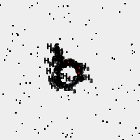 CCNC(=O)O[C@@H]1CC[C@@H](C[C@@H](N)[C@@H]2CC(=O)[C@H](C)/C=C(\C)[C@@H](O)[C@@H](O)C(=O)C(C)C[C@H](C)/C=C/C=C/C=C(\C)[C@@H](OC)C[C@@H]3CC[C@@H](C)[C@@](O)(O3)C(=O)C(=O)N3CCCC[C@H]3C(=O)O2)C[C@H]1OC